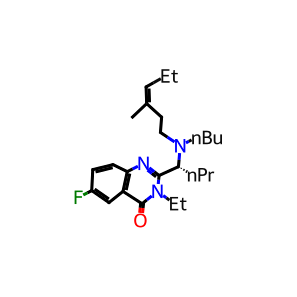 CC/C=C(/C)CCN(CCCC)[C@H](CCC)c1nc2ccc(F)cc2c(=O)n1CC